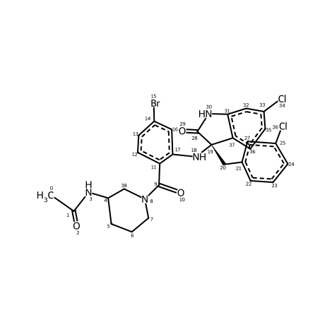 CC(=O)NC1CCCN(C(=O)c2ccc(Br)cc2N[C@]2(Cc3cccc(Cl)c3)C(=O)Nc3cc(Cl)ccc32)C1